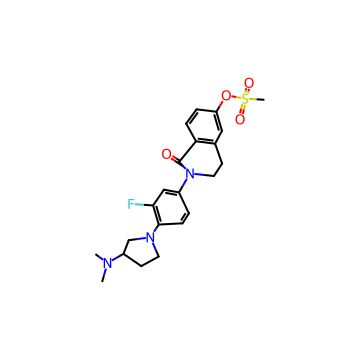 CN(C)C1CCN(c2ccc(N3CCc4cc(OS(C)(=O)=O)ccc4C3=O)cc2F)C1